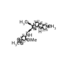 CC#Cc1c(C#CCNc2ccc(S(C)(=O)=O)cc2OC)nc2c(N[C@@H]3CCN(C)C[C@@H]3F)cccn12